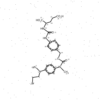 CCCN(CCBr)c1ccc(N(C)C(=O)OCc2ccc(NC(=O)NC(CCC(=O)O)C(=O)O)cc2)cc1